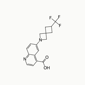 O=C(O)c1ccnc2ccc(N3CC4(CC(C(F)(F)F)C4)C3)cc12